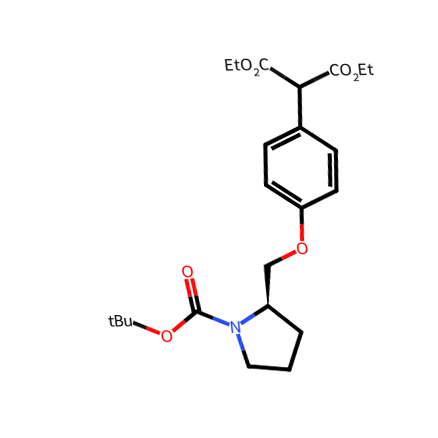 CCOC(=O)C(C(=O)OCC)c1ccc(OC[C@H]2CCCN2C(=O)OC(C)(C)C)cc1